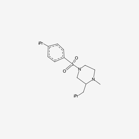 CC(C)CC1CN(S(=O)(=O)c2ccc(C(C)C)cc2)CCN1C